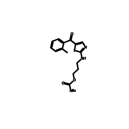 CCCCC(=O)OCCCNc1ncc(C(=O)c2ccccc2C)s1